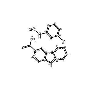 NC(=O)c1cc2c(cn1)[nH]c1ccccc12.O=CNc1cccc(Br)c1